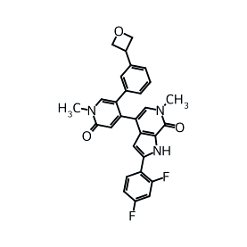 Cn1cc(-c2cccc(C3COC3)c2)c(-c2cn(C)c(=O)c3[nH]c(-c4ccc(F)cc4F)cc23)cc1=O